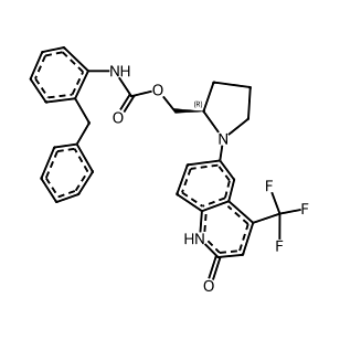 O=C(Nc1ccccc1Cc1ccccc1)OC[C@H]1CCCN1c1ccc2[nH]c(=O)cc(C(F)(F)F)c2c1